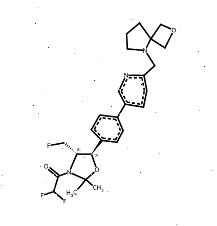 CC1(C)O[C@H](c2ccc(-c3ccc(CN4CCCC45COC5)nc3)cc2)[C@@H](CF)N1C(=O)C(F)F